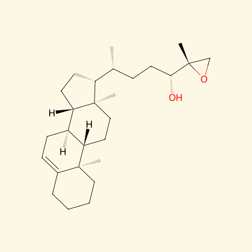 C[C@H](CC[C@@H](O)[C@]1(C)CO1)[C@H]1CC[C@H]2[C@@H]3CC=C4CCCC[C@]4(C)[C@H]3CC[C@]12C